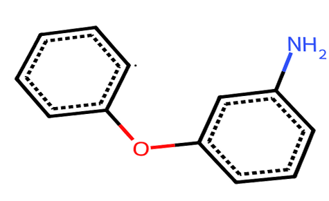 Nc1cccc(Oc2[c]cccc2)c1